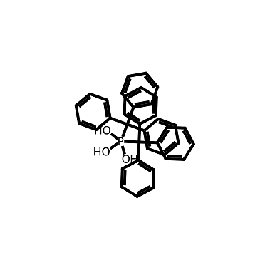 OP(O)(O)(C(c1ccccc1)(c1ccccc1)c1ccccc1)C(c1ccccc1)(c1ccccc1)c1ccccc1